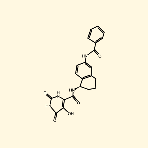 O=C(Nc1ccc2c(c1)CCC[C@H]2NC(=O)c1[nH]c(=O)[nH]c(=O)c1O)c1ccccc1